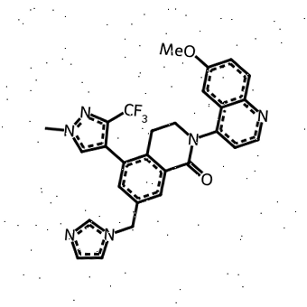 COc1ccc2nccc(N3CCc4c(cc(Cn5ccnc5)cc4-c4cn(C)nc4C(F)(F)F)C3=O)c2c1